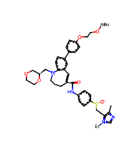 CCCCOCCOc1ccc(-c2ccc3c(c2)/C=C(/C(=O)Nc2ccc([S@+]([O-])Cc4c(C)ncn4CC)cc2)CCCN3C[C@@H]2COCCO2)cc1